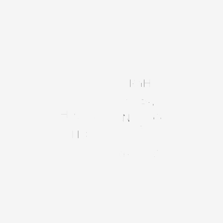 CC1(C)CN(C(=O)[CH](Cl)[Re])[C]([Rb])([RaH])c2ccccc21